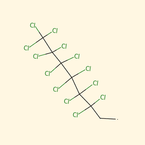 [CH2]CC(Cl)(Cl)C(Cl)(Cl)C(Cl)(Cl)C(Cl)(Cl)C(Cl)(Cl)C(Cl)(Cl)Cl